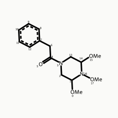 COC1CN(C(=O)Cc2ccccc2)CC(OC)N1OC